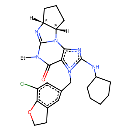 CCN1C(=O)c2c(nc(NC3CCCCC3)n2Cc2cc(Cl)c3c(c2)CCO3)N2C1=N[C@@H]1CCC[C@@H]12